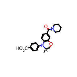 C[C@@H]1COc2cc(C(=O)N3CCCCC3)ccc2N1c1ccc(C(=O)O)cc1